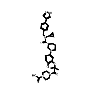 CC(C)(Oc1cc(N2CCC[C@@H](C(=O)N(Cc3ccc(-c4cn[nH]c4)cc3)C3CC3)C2)ccc1Cl)C(=O)N1CCN(C(=O)O)CC1